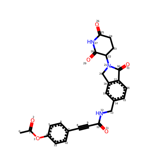 CC(=O)Oc1ccc(C#CC(=O)NCc2ccc3c(c2)CN(C2CCC(=O)NC2=O)C3=O)cc1